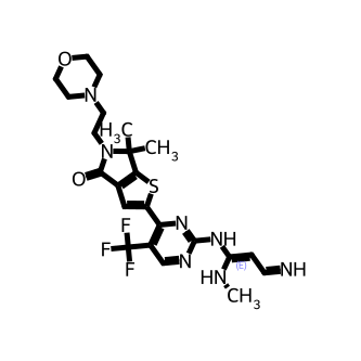 CN/C(=C\C=N)Nc1ncc(C(F)(F)F)c(-c2cc3c(s2)C(C)(C)N(CCN2CCOCC2)C3=O)n1